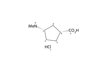 CN[C@H]1CC[C@@H](C(=O)O)C1.Cl